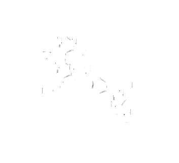 COc1cnc(-c2c(OC)ncnc2C2CC2)nc1O[C@@H](C)c1ccc(-c2nc(C(F)(F)F)cn2C)cc1